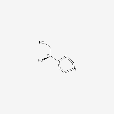 OC[C@H](O)c1ccncc1